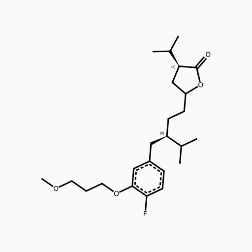 COCCCOc1cc(C[C@@H](CCC2C[C@@H](C(C)C)C(=O)O2)C(C)C)ccc1F